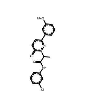 COc1cccc(-c2ccc(=O)n(C(C)C(=O)Nc3cccc(Cl)c3)n2)c1